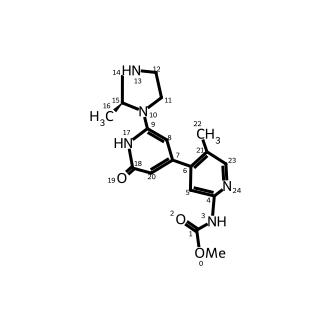 COC(=O)Nc1cc(-c2cc(N3CCNC[C@@H]3C)[nH]c(=O)c2)c(C)cn1